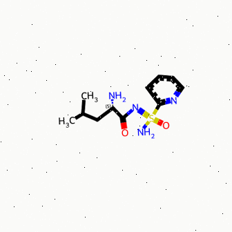 CC(C)C[C@H](N)C(=O)N=S(N)(=O)c1ccccn1